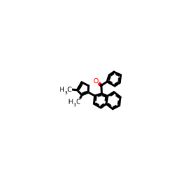 CC1=CCC(c2ccc3ccccc3c2C(=O)c2ccccc2)=C1C